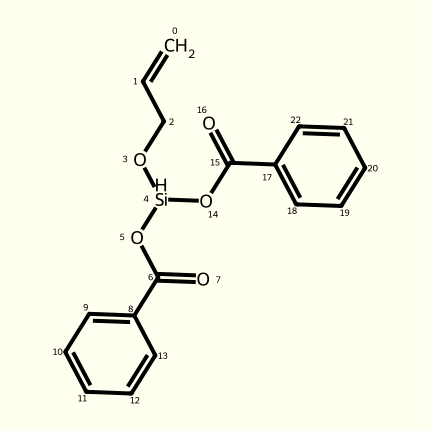 C=CCO[SiH](OC(=O)c1ccccc1)OC(=O)c1ccccc1